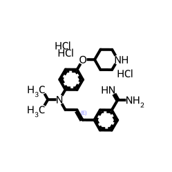 CC(C)N(C/C=C/c1cccc(C(=N)N)c1)c1ccc(OC2CCNCC2)cc1.Cl.Cl.Cl